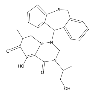 CC1CN2C(=C(O)C1=O)C(=O)N(C(C)CO)CN2C1c2ccccc2CSc2ccccc21